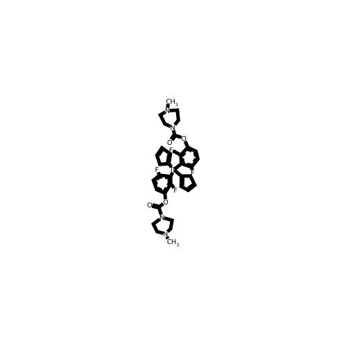 CN1CCN(C(=O)Oc2ccc(F)[c]([Ti]([C]3=CC=CC3)([C]3=CC=CC3)[c]3c(F)ccc(OC(=O)N4CCN(C)CC4)c3F)c2F)CC1